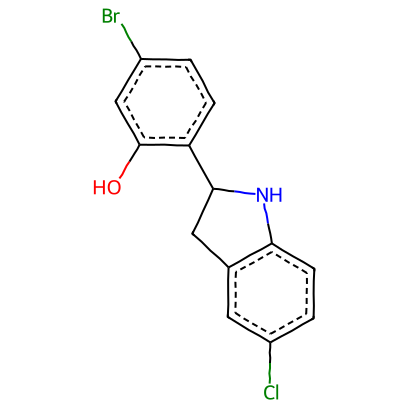 Oc1cc(Br)ccc1C1Cc2cc(Cl)ccc2N1